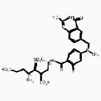 Cc1nc2ccc(CN(C)c3ccc(C(=O)N[C@H](CC(C(=O)O)C(=O)[C@H](N)CCC(=O)O)C(=O)O)c(F)c3)cc2c(=O)[nH]1